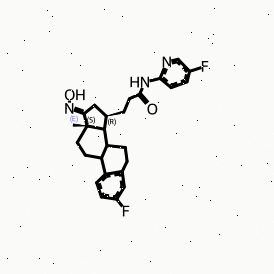 C[C@]12CCC3c4ccc(F)cc4CCC3C1[C@H](CCC(=O)Nc1ccc(F)cn1)C/C2=N\O